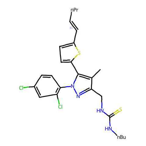 CCC/C=C/c1ccc(-c2c(C)c(CNC(=S)NCCCC)nn2-c2ccc(Cl)cc2Cl)s1